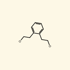 [O]CCc1ccccc1CC[O]